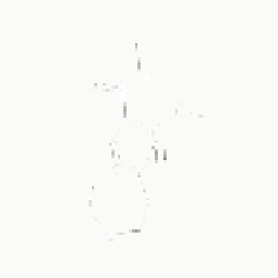 COC(=O)c1cc2c(nc1OC)CCCCC2